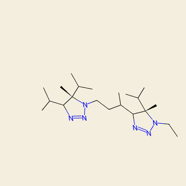 CCN1N=NC(C(C)CCN2N=NC(C(C)C)[C@]2(C)C(C)C)[C@]1(C)C(C)C